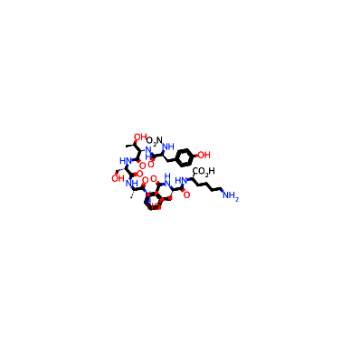 C[C@H](NC(=O)[C@H](CO)NC(=O)[C@@H](NC(=O)[C@H](Cc1ccc(O)cc1)N[N+](=O)[O-])[C@@H](C)O)C(=O)N[C@H](C(=O)N[C@@H](Cc1ccccc1)C(=O)N[C@@H](CCCCN)C(=O)O)[C@@H](C)O